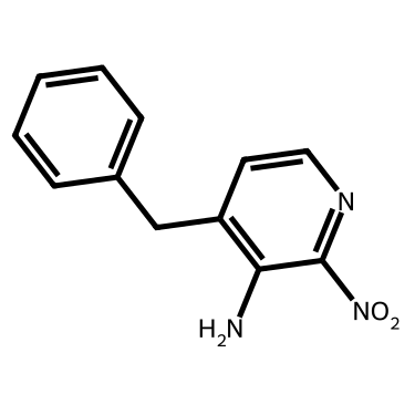 Nc1c(Cc2ccccc2)ccnc1[N+](=O)[O-]